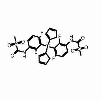 CS(=O)(=O)C(=O)Nc1ccc(F)[c]([Ti]([C]2=CC=CC2)([C]2=CC=CC2)[c]2c(F)ccc(NC(=O)S(C)(=O)=O)c2F)c1F